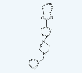 c1ccc(CN2CCN(c3ccc(-c4nc5ccccc5o4)cc3)CC2)cc1